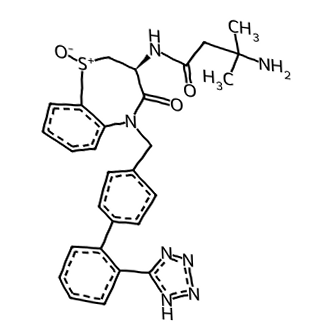 CC(C)(N)CC(=O)N[C@@H]1C[S+]([O-])c2ccccc2N(Cc2ccc(-c3ccccc3-c3nnn[nH]3)cc2)C1=O